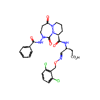 O=C(O)C[C@@H](/C=N/OCc1c(Cl)cccc1Cl)NC(=O)[C@@H]1CCCN2C(=O)CCN(NC(=O)c3ccccc3)C(=O)N12